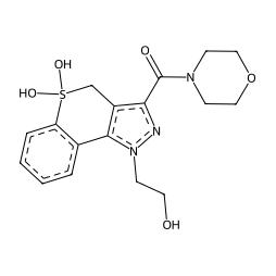 O=C(c1nn(CCO)c2c1CS(O)(O)c1ccccc1-2)N1CCOCC1